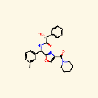 Cc1cccc(C(NC(=O)[C@H](O)c2ccccc2)c2nc(C(=O)N3CCCCC3)co2)c1